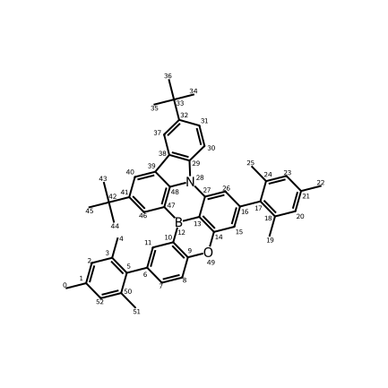 Cc1cc(C)c(-c2ccc3c(c2)B2c4c(cc(-c5c(C)cc(C)cc5C)cc4-n4c5ccc(C(C)(C)C)cc5c5cc(C(C)(C)C)cc2c54)O3)c(C)c1